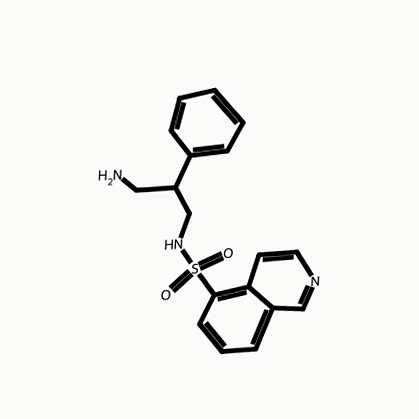 NCC(CNS(=O)(=O)c1cccc2cnccc12)c1ccccc1